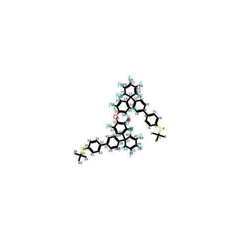 CC(C)(C)Sc1ccc(-c2ccc(C3(c4c(F)c(F)c(Oc5c(F)c(F)c(C6(c7ccc(-c8ccc(SC(C)(C)C)cc8)cc7)C(F)=C(F)C(F)=C(F)C6F)c(F)c5F)c(F)c4F)C(F)=C(F)C(F)=C(F)C3F)cc2)cc1